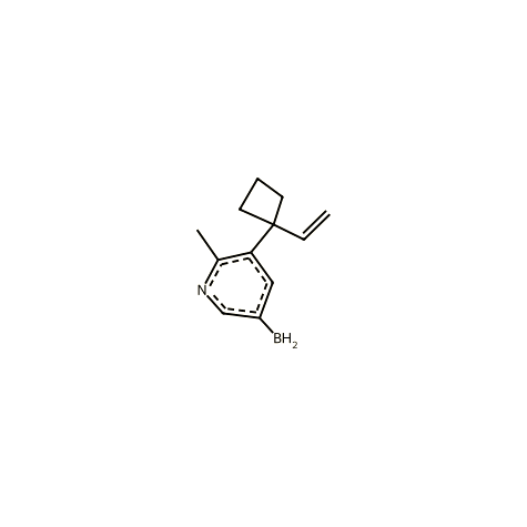 Bc1cnc(C)c(C2(C=C)CCC2)c1